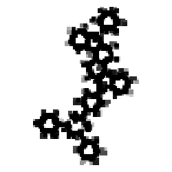 c1ccc(-c2nc(-c3ccccc3)nc(-c3ccc(-n4c5ccccc5c5c6ccc7c(c6ccc54)c4ccccc4n7-c4ccccc4)cc3)n2)cc1